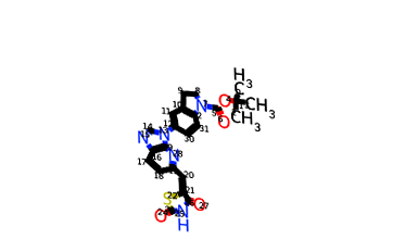 CC(C)(C)OC(=O)N1CCc2cc(-n3cnc4ccc(/C=C5\SC(=O)NC5=O)nc43)ccc21